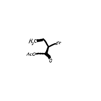 C=CC(CC)C(=O)OC(C)=O